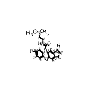 CN(C)CCNC(=O)Oc1cc2[nH]ncc2cc1Oc1ccc(F)cc1